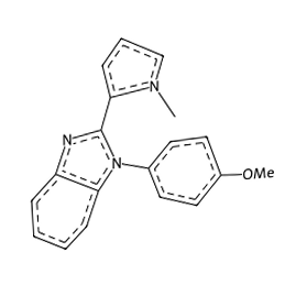 COc1ccc(-n2c(-c3cccn3C)nc3ccccc32)cc1